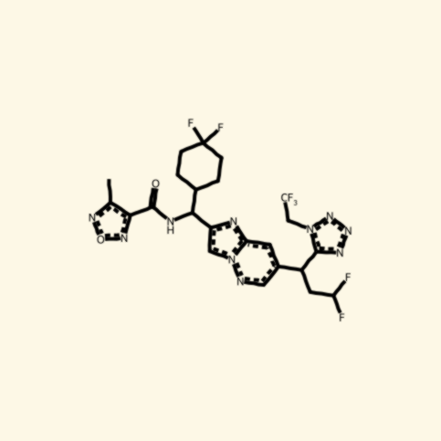 Cc1nonc1C(=O)NC(c1cn2ncc(C(CC(F)F)c3nnnn3CC(F)(F)F)cc2n1)C1CCC(F)(F)CC1